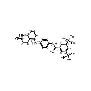 O=C(Nc1ccc(Nc2ccnc3[nH]c(=O)ccc23)cc1)c1cc(C(F)(F)F)cc(C(F)(F)F)c1